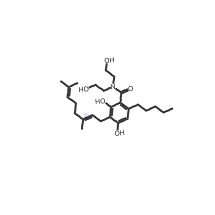 CCCCCc1cc(O)c(C/C=C(\C)CCC=C(C)C)c(O)c1C(=O)N(CCO)CCO